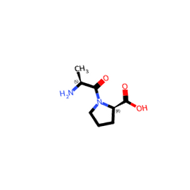 C[C@H](N)C(=O)N1CCC[C@@H]1C(=O)O